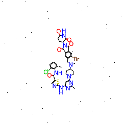 Cc1nc(Nc2ncc(C(=O)Nc3c(C)cccc3Cl)s2)cc(N2CCC(N(C)Cc3cc4c(cc3Br)C(=O)N(C3CCC(=O)NC3=O)C4=O)CC2)n1